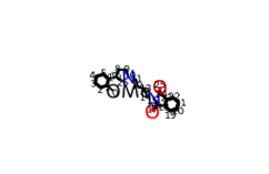 COc1ccccc1[C@H]1CCN(CCCCN2C(=O)c3ccccc3C2=O)C1